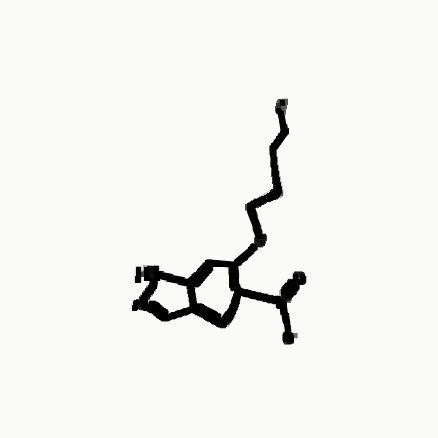 O=[N+]([O-])c1cc2cn[nH]c2cc1OCCCCCl